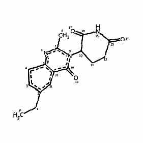 CCc1ccc2nc(C)n(C3CCC(=O)NC3=O)c(=O)c2c1